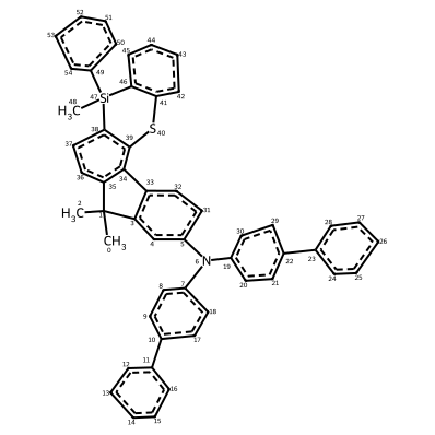 CC1(C)c2cc(N(c3ccc(-c4ccccc4)cc3)c3ccc(-c4ccccc4)cc3)ccc2-c2c1ccc1c2Sc2ccccc2[Si]1(C)c1ccccc1